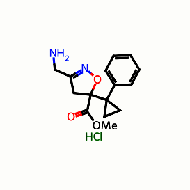 COC(=O)C1(C2(c3ccccc3)CC2)CC(CN)=NO1.Cl